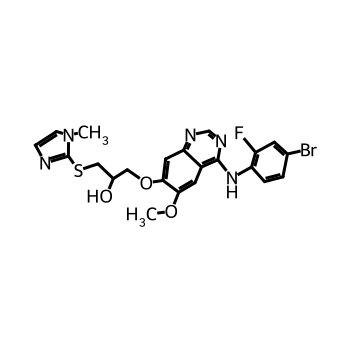 COc1cc2c(Nc3ccc(Br)cc3F)ncnc2cc1OCC(O)CSc1nccn1C